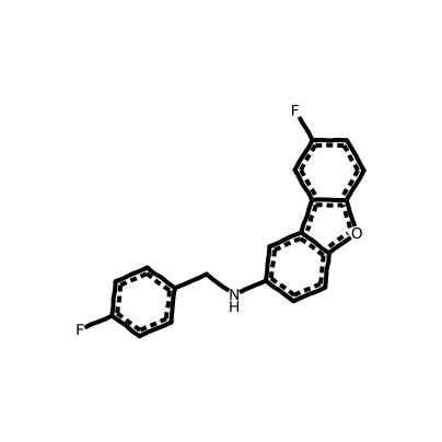 Fc1ccc(CNc2ccc3oc4ccc(F)cc4c3c2)cc1